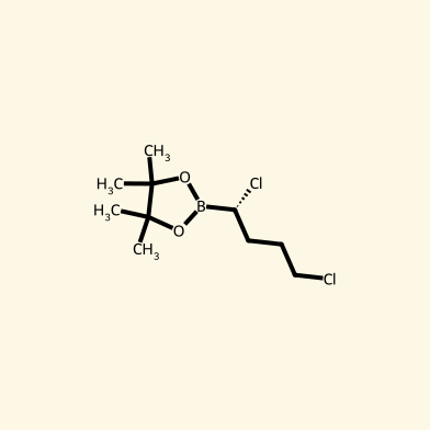 CC1(C)OB([C@H](Cl)CCCCl)OC1(C)C